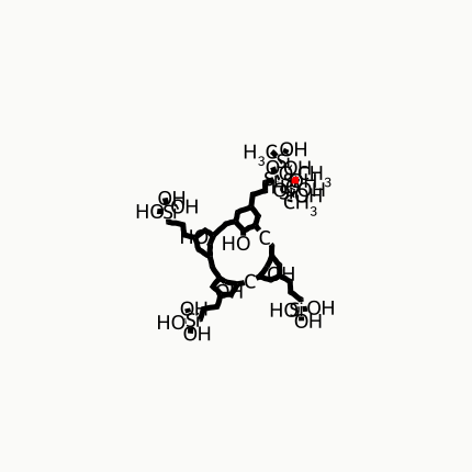 C[Si](O)(O)O[Si](CCCC1CC2CCC3CC(CCC[Si](O)(O)O)CC(CC4CC(CCC[Si](O)(O)O)CC(CC5CC(CCC[Si](O)(O)O)CC(CC(C1)C2O)C5O)C4O)C3O)(O[Si](C)(O)O)O[Si](C)(O)O